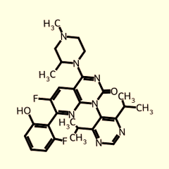 CC(C)c1ncnc(C(C)C)c1-n1c(=O)nc(N2CCN(C)CC2C)c2cc(F)c(-c3c(O)cccc3F)nc21